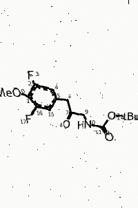 COc1c(F)cc(CC(=O)CNC(=O)OC(C)(C)C)cc1F